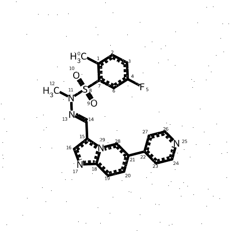 Cc1ccc(F)cc1S(=O)(=O)N(C)N=Cc1cnc2ccc(-c3ccncc3)cn12